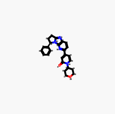 O=c1cc(-c2ccc3nc4n(c3n2)[C@@H](c2ccccc2)CC4)ccn1C1CCOCC1